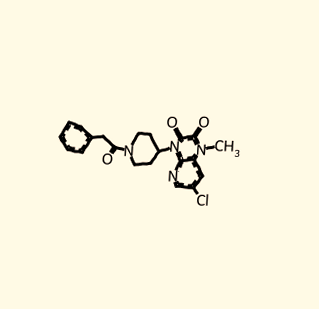 Cn1c(=O)c(=O)n(C2CCN(C(=O)Cc3ccccc3)CC2)c2ncc(Cl)cc21